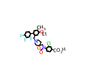 CCOc1cc(CN2CCC3(CC2)CN(c2ccc(C(=O)O)cc2Cl)C(=O)O3)c(-c2ccc(F)c(F)c2F)cc1C